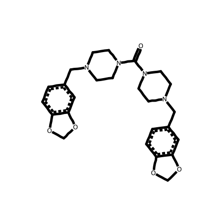 O=C(N1CCN(Cc2ccc3c(c2)OCO3)CC1)N1CCN(Cc2ccc3c(c2)OCO3)CC1